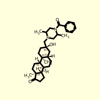 CC1CN(C(=O)c2ccccc2)C(C)CN1C[C@@]1(O)CC[C@@]2(C)[C@@H](CC[C@@H]3[C@@H]2CC[C@]2(C)C(=O)CC[C@@H]32)C1